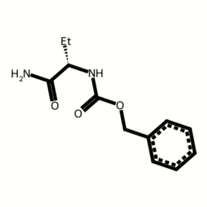 CC[C@H](NC(=O)OCc1ccccc1)C(N)=O